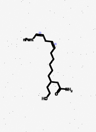 CCCCC/C=C\C/C=C\CCCCCC(CCO)CC(N)=O